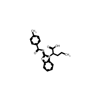 CCCC(C(=O)O)n1c(=NC(=O)c2ccc(C)cc2)sc2ccccc21